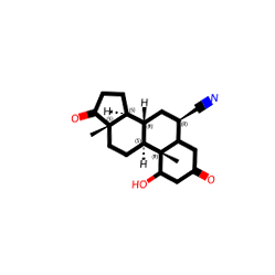 C[C@]12C(O)CC(=O)CC1[C@H](C#N)C[C@@H]1[C@@H]2CC[C@]2(C)C(=O)CC[C@@H]12